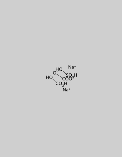 O=C(O)O.O=C([O-])[O-].O=S(=O)(O)O.[Na+].[Na+]